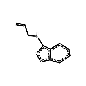 C=CCNc1nsc2ccccc12